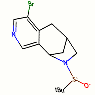 CC(C)(C)[S+]([O-])N1CC2Cc3c(Br)cncc3C1C2